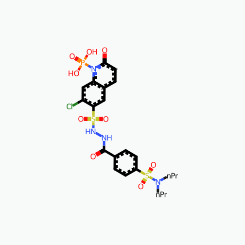 CCCN(CCC)S(=O)(=O)c1ccc(C(=O)NNS(=O)(=O)c2cc3c[c]c(=O)n(P(=O)(O)O)c3cc2Cl)cc1